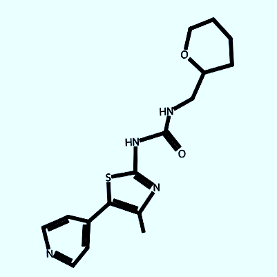 Cc1nc(NC(=O)NCC2CCCCO2)sc1-c1ccncc1